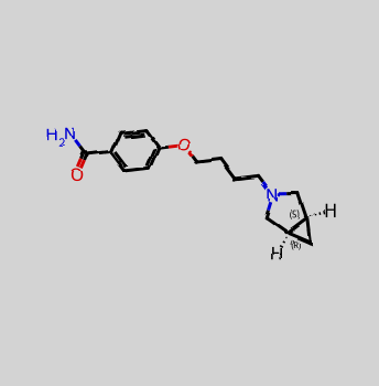 NC(=O)c1ccc(OCCCCN2C[C@H]3C[C@H]3C2)cc1